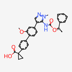 COc1cc(-c2cnn(C)c2NC(=O)O[C@H](C)c2ccccc2)ccc1-c1ccc(C2(C(=O)O)CC2)cc1